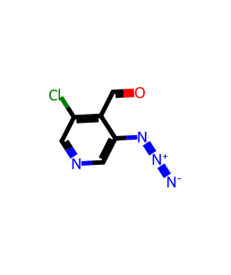 [N-]=[N+]=Nc1cncc(Cl)c1C=O